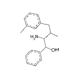 Cc1cccc(CC(C)C(N)C(O)c2ccccc2)c1